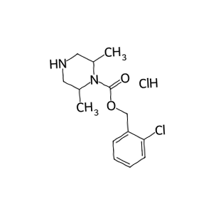 CC1CNCC(C)N1C(=O)OCc1ccccc1Cl.Cl